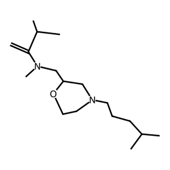 C=C(C(C)C)N(C)CC1CN(CCCC(C)C)CCO1